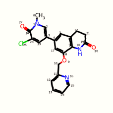 Cn1cc(-c2cc3c(c(OCc4ccccn4)c2)NC(=O)CC3)cc(Cl)c1=O